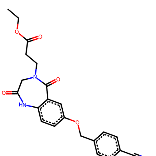 CCOC(=O)CCN1CC(=O)Nc2ccc(OCc3ccc(C#N)cc3)cc2C1=O